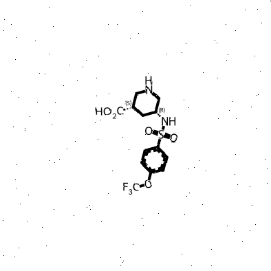 O=C(O)[C@@H]1CNC[C@H](NS(=O)(=O)c2ccc(OC(F)(F)F)cc2)C1